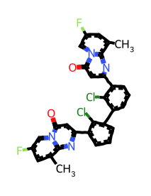 Cc1cc(F)cn2c(=O)cc(-c3cccc(-c4cccc(-c5cc(=O)n6cc(F)cc(C)c6n5)c4Cl)c3Cl)nc12